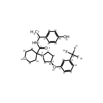 CC(NC(=O)C1(N2CC[C@@H](Oc3cccc(C(F)(F)F)c3)C2)CCOCC1)c1ccc(O)cc1